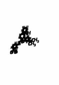 CC(C)c1ccc(C2c3[nH]c4ccccc4c3CCN2C(=O)/C=C/c2cccc([N+](=O)[O-])c2)cc1